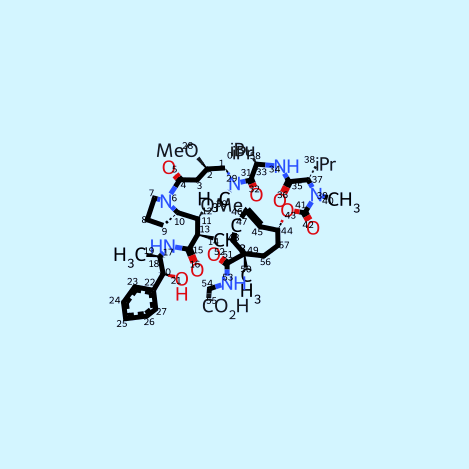 CC[C@H](C)[C@@H]([C@@H](CC(=O)N1CCC[C@H]1[C@H](OC)[C@@H](C)C(=O)N[C@H](C)[C@@H](O)c1ccccc1)OC)N(C)C(=O)[C@@H](NC(=O)[C@H](C(C)C)N(C)C(=O)O[C@H]1/C=C/CC[C@@](C)(C(=O)NCC(=O)O)CC1)C(C)C